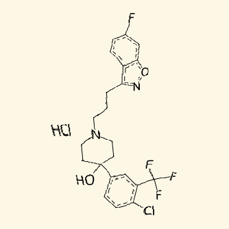 Cl.OC1(c2ccc(Cl)c(C(F)(F)F)c2)CCN(CCCc2noc3cc(F)ccc23)CC1